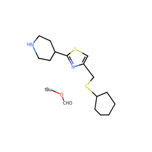 CC(C)(C)OC=O.c1sc(C2CCNCC2)nc1CSC1CCCCC1